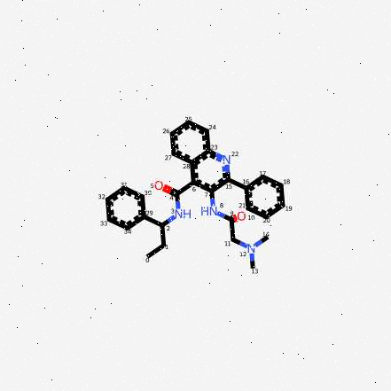 CCC(NC(=O)c1c(NC(=O)CN(C)C)c(-c2ccccc2)nc2ccccc12)c1ccccc1